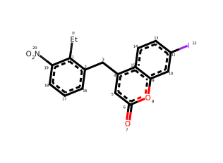 CCc1c(Cc2cc(=O)oc3cc(I)ccc23)cccc1[N+](=O)[O-]